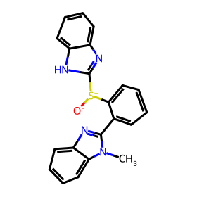 Cn1c(-c2ccccc2[S+]([O-])c2nc3ccccc3[nH]2)nc2ccccc21